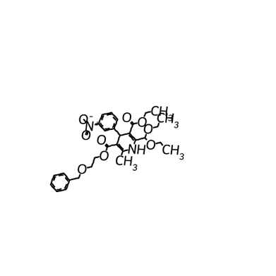 CCOC(=O)C1=C(C(OCC)OCC)NC(C)=C(C(=O)OCCOCc2ccccc2)C1c1cccc([N+](=O)[O-])c1